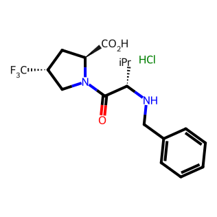 CC(C)[C@H](NCc1ccccc1)C(=O)N1C[C@H](C(F)(F)F)C[C@H]1C(=O)O.Cl